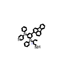 C=C/C(=C\C=N)N(c1ccccc1)c1cc(-c2ccc3c4c(cccc24)-c2ccccc2-3)cc(N(c2ccccc2)c2ccncc2)c1